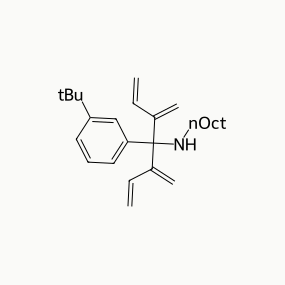 C=CC(=C)C(NCCCCCCCC)(C(=C)C=C)c1cccc(C(C)(C)C)c1